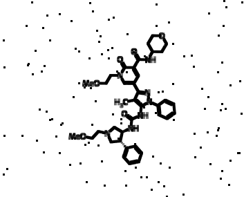 COCCN1C[C@@H](NC(=O)Nc2c(C)c(-c3cc(C(=O)NC4CCOCC4)c(=O)n(CCOC)c3)nn2-c2ccccc2)[C@H](c2ccccc2)C1